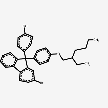 CCCCC(CC)COc1ccc(C2(c3ccc(O)cc3)c3ccccc3-c3ccc(Br)cc32)cc1